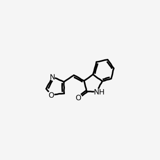 O=C1Nc2ccccc2C1=Cc1cocn1